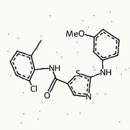 COc1cccc(Nc2ncc(C(=O)Nc3c(C)cccc3Cl)s2)c1